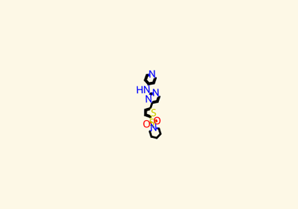 O=S(=O)(c1ccc(-c2ccnc(Nc3ccncc3)n2)s1)N1CCCCC1